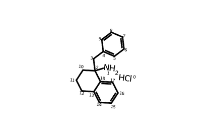 Cl.NC1(Cc2ccccc2)CCCc2ccccc21